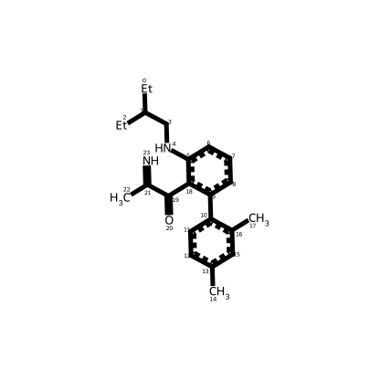 CCC(CC)CNc1cccc(-c2ccc(C)cc2C)c1C(=O)C(C)=N